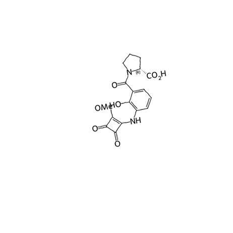 COc1c(Nc2cccc(C(=O)N3CCC[C@@H]3C(=O)O)c2O)c(=O)c1=O